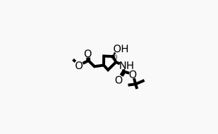 COC(=O)CC1CC(NC(=O)OC(C)(C)C)[C@H](O)C1